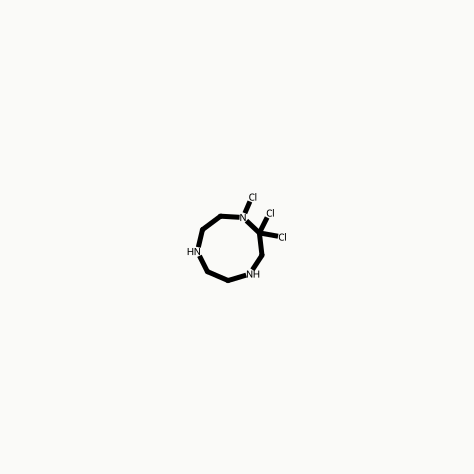 ClN1CCNCCNCC1(Cl)Cl